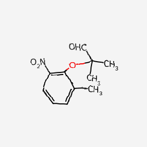 Cc1cccc([N+](=O)[O-])c1OC(C)(C)C=O